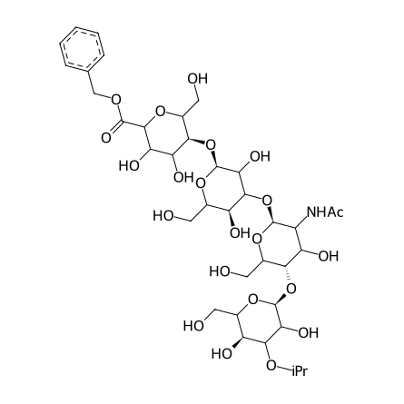 CC(=O)NC1C(O)[C@H](O[C@@H]2OC(CO)[C@H](O)C(OC(C)C)C2O)C(CO)O[C@H]1OC1C(O)[C@H](O[C@@H]2C(CO)OC(C(=O)OCc3ccccc3)C(O)C2O)OC(CO)[C@@H]1O